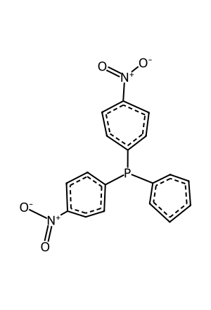 O=[N+]([O-])c1ccc(P(c2ccccc2)c2ccc([N+](=O)[O-])cc2)cc1